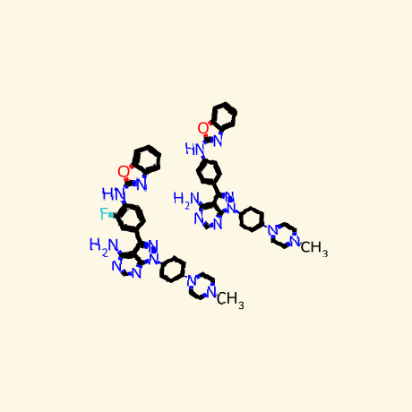 CN1CCN([C@H]2CC[C@H](n3nc(-c4ccc(Nc5nc6ccccc6o5)c(F)c4)c4c(N)ncnc43)CC2)CC1.CN1CCN([C@H]2CC[C@H](n3nc(-c4ccc(Nc5nc6ccccc6o5)cc4)c4c(N)ncnc43)CC2)CC1